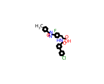 Cc1ccc(-c2nc(-c3ccc(CC(NC(=O)c4cccc(-c5ccc(Cl)cc5)c4)C(=O)O)cc3F)no2)cc1